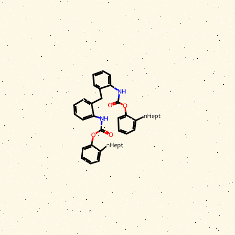 CCCCCCCc1ccccc1OC(=O)Nc1ccccc1Cc1ccccc1NC(=O)Oc1ccccc1CCCCCCC